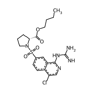 CCCCOC(=O)[C@H]1CCCN1S(=O)(=O)c1ccc2c(Cl)cnc(NC(=N)N)c2c1